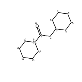 O=C(CC1CCCCC1)N1CCCCC1